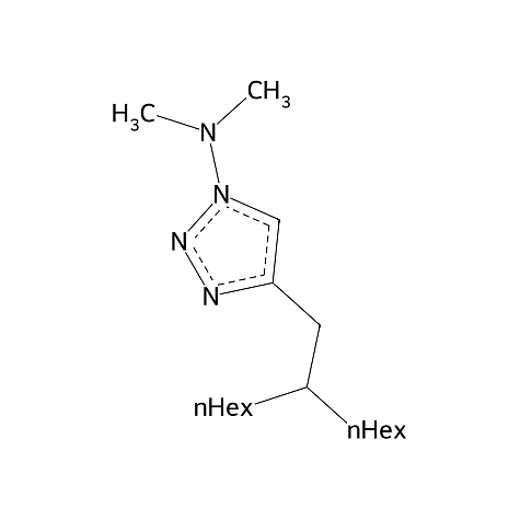 CCCCCCC(CCCCCC)Cc1cn(N(C)C)nn1